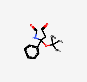 CC(C)(C)OC(CC=O)(NC=O)c1ccccc1